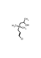 CC(O)C[N+](C)(C)CC=CCl